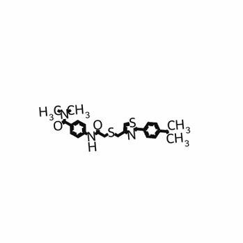 CC(C)c1ccc(-c2nc(CSCC(=O)Nc3ccc(C(=O)N(C)C)cc3)cs2)cc1